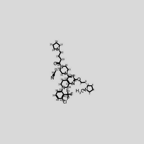 CN1CCC[C@H]1CCOc1nc2c(c(N3CCN(C(=O)CCCN4CCCC4)[C@@H](CC#N)C3)n1)CCN(c1cccc(Cl)c1C(F)(F)F)C2